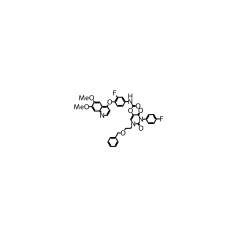 COc1cc2nccc(Oc3ccc(NC(=O)Oc4cn(CCOCc5ccccc5)c(=O)n(-c5ccc(F)cc5)c4=O)cc3F)c2cc1OC